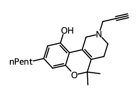 C#CCN1CCC2=C(C1)c1c(O)cc(CCCCC)cc1OC2(C)C